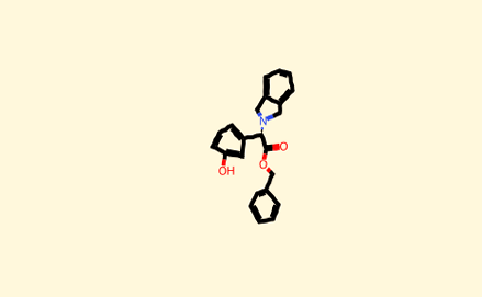 O=C(OCc1ccccc1)[C@H](c1cccc(O)c1)N1Cc2ccccc2C1